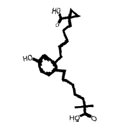 CC(C)(CCCCCc1ccc(O)cc1CCCCCC1(C(=O)O)CC1)C(=O)O